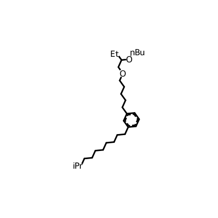 CCCCOC(CC)COCCCCCc1cccc(CCCCCCCCC(C)C)c1